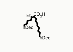 CCCCCCCCCCCCCCCCCCC(C(=O)O)C(CC)CCCCCCCCCCCCCC